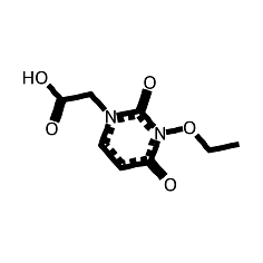 CCOn1c(=O)ccn(CC(=O)O)c1=O